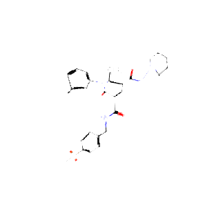 Cc1c(C(=O)NN2CCCCC2)cc(C(=O)NCc2ccc(S(C)(=O)=O)cc2)c(=O)n1-c1cccc(C(F)(F)F)c1